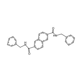 O=C(NCc1ccccc1)c1ccc2cc(C(=O)NCc3ccccc3)ccc2c1